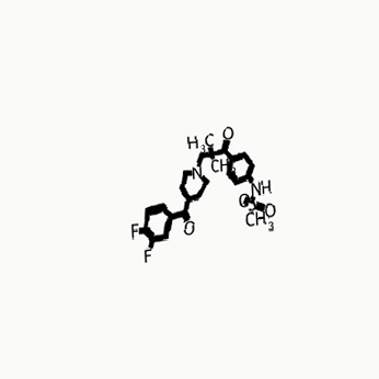 CC(C)(CN1CCC(C(=O)c2ccc(F)c(F)c2)CC1)C(=O)c1ccc(NS(C)(=O)=O)cc1